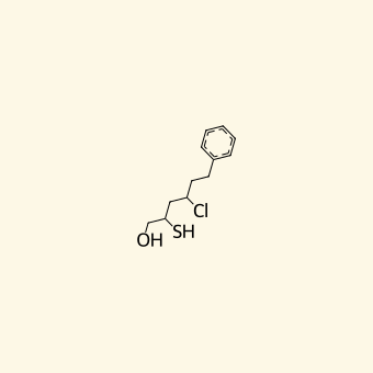 OCC(S)CC(Cl)CCc1ccccc1